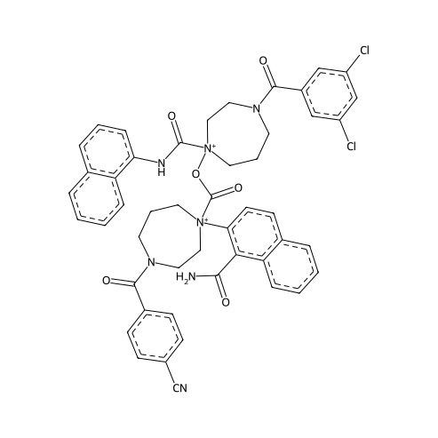 N#Cc1ccc(C(=O)N2CCC[N+](C(=O)O[N+]3(C(=O)Nc4cccc5ccccc45)CCCN(C(=O)c4cc(Cl)cc(Cl)c4)CC3)(c3ccc4ccccc4c3C(N)=O)CC2)cc1